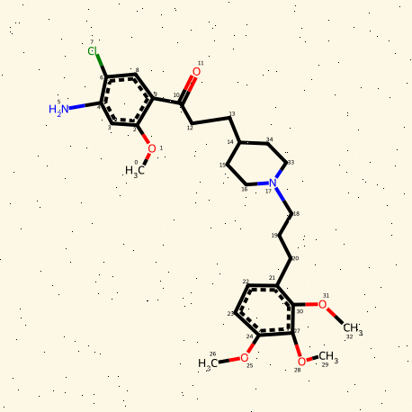 COc1cc(N)c(Cl)cc1C(=O)CCC1CCN(CCCc2ccc(OC)c(OC)c2OC)CC1